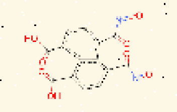 O=NC(=O)c1ccc(C(=O)O)c2c(C(=O)O)ccc(C(=O)N=O)c12